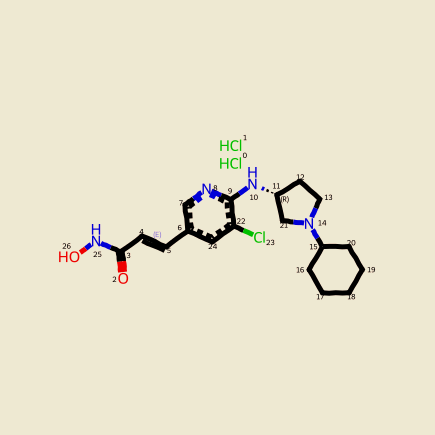 Cl.Cl.O=C(/C=C/c1cnc(N[C@@H]2CCN(C3CCCCC3)C2)c(Cl)c1)NO